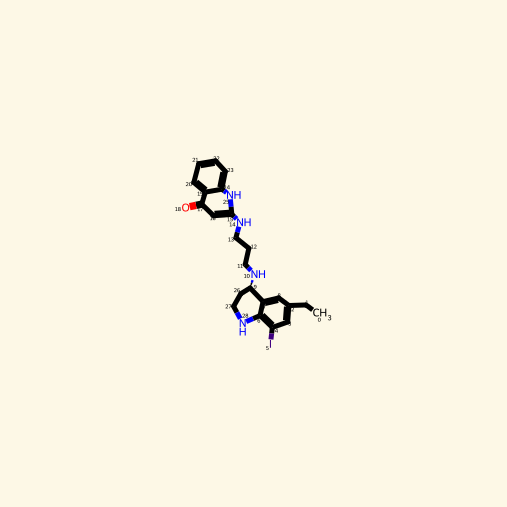 CCc1cc(I)c2c(c1)[C@@H](NCCCNc1cc(=O)c3ccccc3[nH]1)CCN2